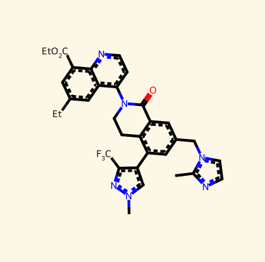 CCOC(=O)c1cc(CC)cc2c(N3CCc4c(cc(Cn5ccnc5C)cc4-c4cn(C)nc4C(F)(F)F)C3=O)ccnc12